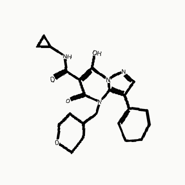 O=C(NC1CC1)c1c(O)n2ncc(C3=CCCCC3)c2n(CC2CCOCC2)c1=O